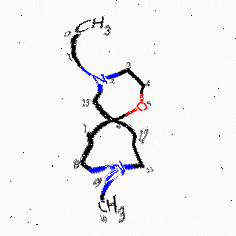 CCN1CCOC2(CCN(C)CC2)C1